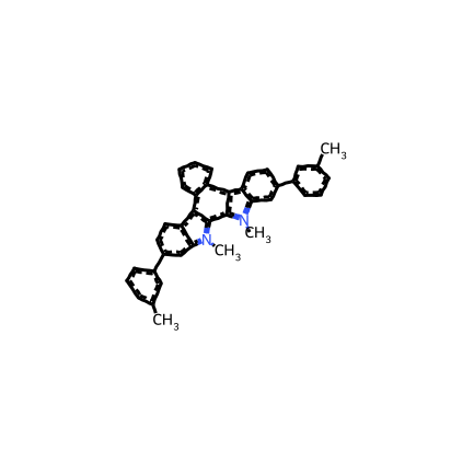 Cc1cccc(-c2ccc3c4c5ccccc5c5c6ccc(-c7cccc(C)c7)cc6n(C)c5c4n(C)c3c2)c1